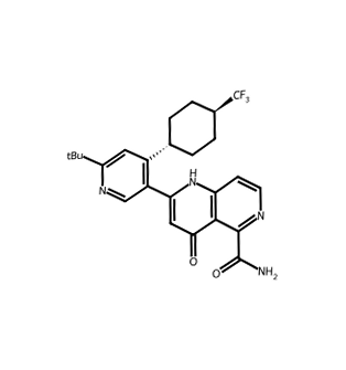 CC(C)(C)c1cc([C@H]2CC[C@H](C(F)(F)F)CC2)c(-c2cc(=O)c3c(C(N)=O)nccc3[nH]2)cn1